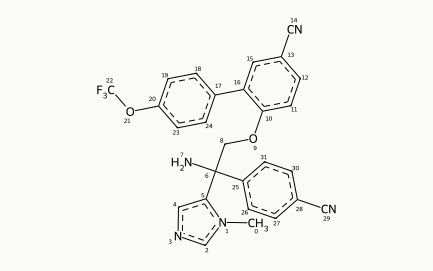 Cn1cncc1C(N)(COc1ccc(C#N)cc1-c1ccc(OC(F)(F)F)cc1)c1ccc(C#N)cc1